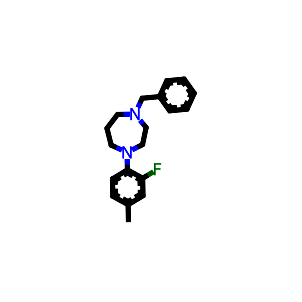 Cc1ccc(N2CCCN(Cc3ccccc3)CC2)c(F)c1